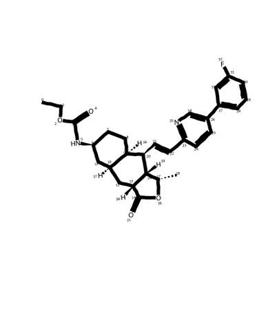 CCOC(=O)N[C@H]1CC[C@@H]2[C@H](C1)C[C@H]1C(=O)O[C@@H](C)[C@H]1[C@@H]2/C=C/c1ccc(-c2cccc(F)c2)cn1